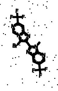 Cn1c(-c2nc3cc(C(F)(F)F)ncn3c2Br)nc2cc(C(F)(F)F)cnc21